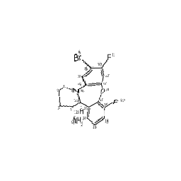 N[C@@H]1CCCN2c3cc(Br)c(F)cc3Oc3c(F)cccc3[C@@H]12